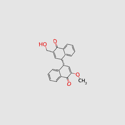 COC1=C/C(=C2/C=C(CO)C(=O)c3ccccc32)c2ccccc2C1=O